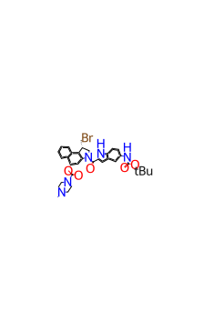 CN1CCN(C(=O)Oc2cc3c(c4ccccc24)[C@H](CBr)CN3C(=O)c2cc3cc(NC(=O)OC(C)(C)C)ccc3[nH]2)CC1